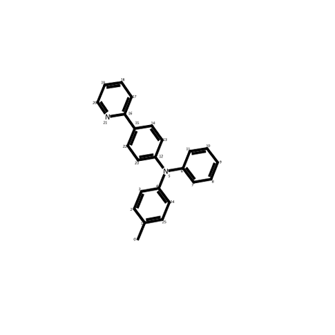 Cc1ccc(N(c2ccccc2)c2ccc(-c3ccccn3)cc2)cc1